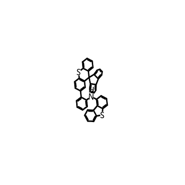 c1ccc(-c2ccc3c(c2)C2(c4ccccc4S3)c3ccccc3-c3ccccc32)c(Nc2cccc3sc4ccccc4c23)c1